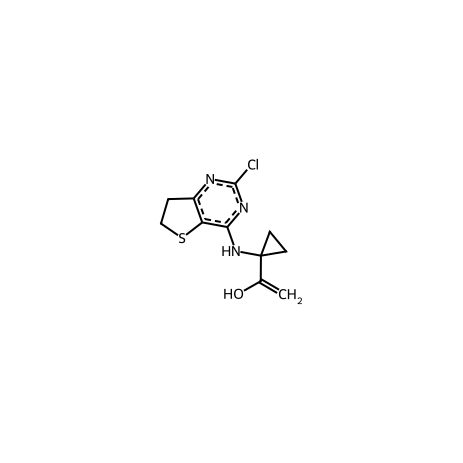 C=C(O)C1(Nc2nc(Cl)nc3c2SCC3)CC1